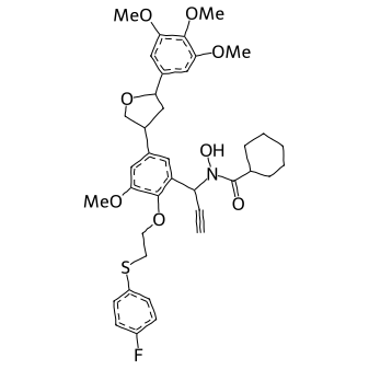 C#CC(c1cc(C2COC(c3cc(OC)c(OC)c(OC)c3)C2)cc(OC)c1OCCSc1ccc(F)cc1)N(O)C(=O)C1CCCCC1